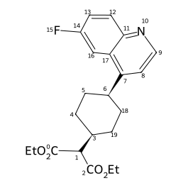 CCOC(=O)C(C(=O)OCC)[C@H]1CC[C@@H](c2ccnc3ccc(F)cc32)CC1